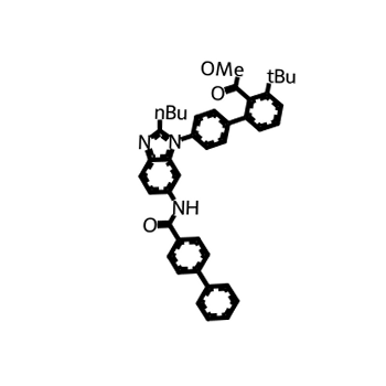 CCCCc1nc2ccc(NC(=O)c3ccc(-c4ccccc4)cc3)cc2n1-c1ccc(-c2cccc(C(C)(C)C)c2C(=O)OC)cc1